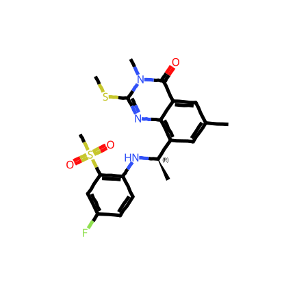 CSc1nc2c([C@@H](C)Nc3ccc(F)cc3S(C)(=O)=O)cc(C)cc2c(=O)n1C